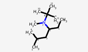 CCC(CC(C)C)N(C)C(C)(C)C